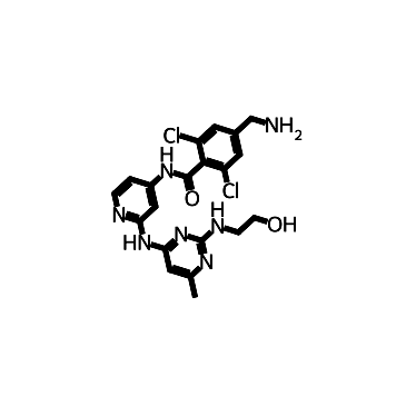 Cc1cc(Nc2cc(NC(=O)c3c(Cl)cc(CN)cc3Cl)ccn2)nc(NCCO)n1